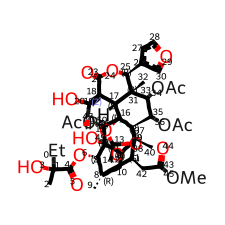 CCC(C)(O)C(=O)O[C@H]1[C@]2(C)C[C@@]34O[C@]5(C)O[C@]6([C@@H]7/C(=C(/O)C(C)C)C(=O)O[C@@H](c8ccoc8)[C@]7(C)C(OC(C)=O)C(OC(C)=O)[C@]6(O5)[C@]3(C)[C@H]2CC(=O)OC)[C@H](OC(C)=O)[C@@]14O